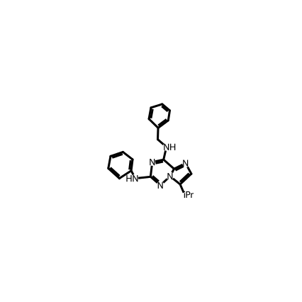 CC(C)c1cnc2c(NCc3ccccc3)nc(Nc3ccccc3)nn12